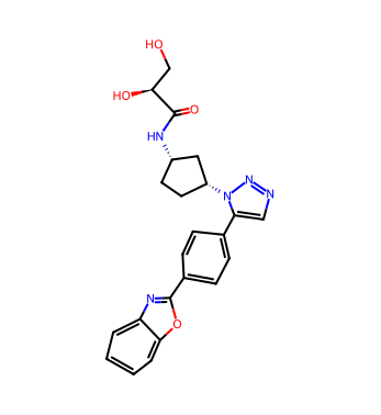 O=C(N[C@H]1CC[C@@H](n2nncc2-c2ccc(-c3nc4ccccc4o3)cc2)C1)[C@@H](O)CO